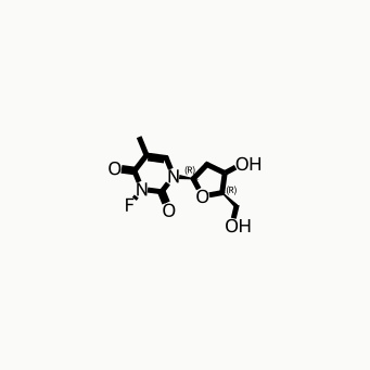 Cc1cn([C@H]2CC(O)[C@@H](CO)O2)c(=O)n(F)c1=O